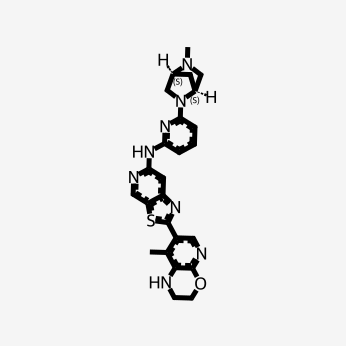 Cc1c(-c2nc3cc(Nc4cccc(N5C[C@@H]6C[C@H]5CN6C)n4)ncc3s2)cnc2c1NCCO2